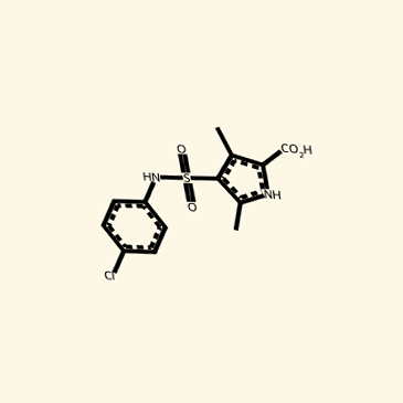 Cc1[nH]c(C(=O)O)c(C)c1S(=O)(=O)Nc1ccc(Cl)cc1